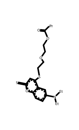 CCN(CC)c1ccc2oc(=S)cc(SCCOCCOC(=O)C(C)C)c2c1